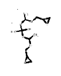 CC(OCC1CO1)OC(C)(C)OC(C)OCC1CO1